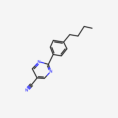 CCCCc1ccc(-c2ncc(C#N)cn2)cc1